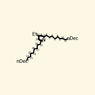 [CH2]Cc1cc(CCCCCCCCCCCCCCCCCC)nc(CCCCCCCCCCCCCCCCCC)c1